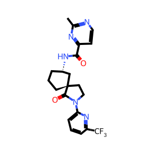 Cc1nccc(C(=O)N[C@H]2CCC[C@]3(CCN(c4cccc(C(F)(F)F)n4)C3=O)C2)n1